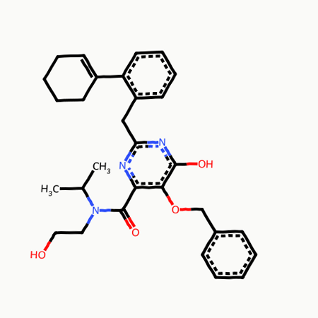 CC(C)N(CCO)C(=O)c1nc(Cc2ccccc2C2=CCCCC2)nc(O)c1OCc1ccccc1